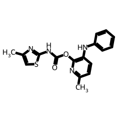 Cc1csc(NC(=O)Oc2nc(C)ccc2Nc2ccccc2)n1